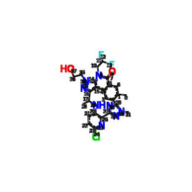 Cc1ccc2c(c1)c(=O)n(CC(F)F)c1c2c(C(C)Nc2ccc(Cl)nc2-c2ncn(C)n2)nn1CCO